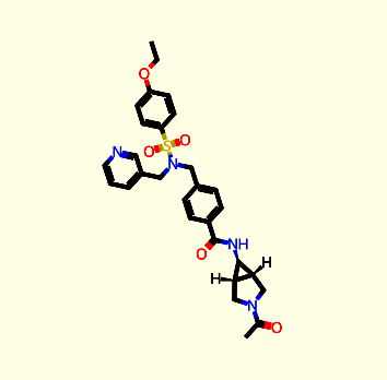 CCOc1ccc(S(=O)(=O)N(Cc2ccc(C(=O)N[C@H]3[C@@H]4CN(C(C)=O)C[C@@H]43)cc2)Cc2cccnc2)cc1